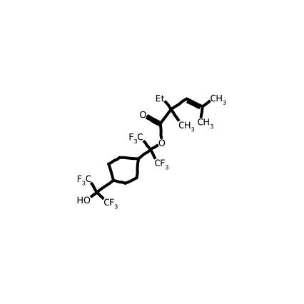 CCC(C)(C=C(C)C)C(=O)OC(C1CCC(C(O)(C(F)(F)F)C(F)(F)F)CC1)(C(F)(F)F)C(F)(F)F